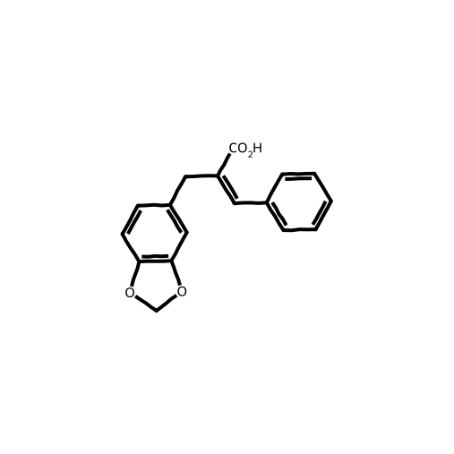 O=C(O)C(=Cc1ccccc1)Cc1ccc2c(c1)OCO2